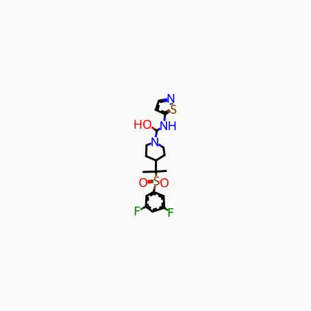 CC(C)(C1CCN(C(O)Nc2ccns2)CC1)S(=O)(=O)c1cc(F)cc(F)c1